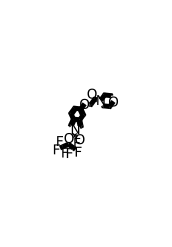 O=C(COc1ccc2cn(C(=O)OC(C(F)(F)F)C(F)(F)F)cc2c1)N1CCOCC1